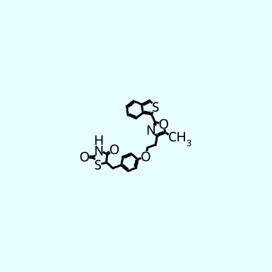 Cc1oc(-c2scc3ccccc23)nc1CCOc1ccc(CC2SC(=O)NC2=O)cc1